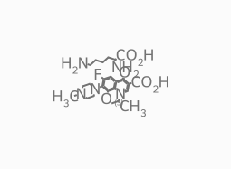 C[C@H]1COc2c(N3CCN(C)CC3)c(F)cc3c(=O)c(C(=O)O)cn1c23.NCCCCC(N)C(=O)O